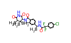 BC(NC(=O)C(F)(F)c1ccc(Cl)cc1)c1ccc2c(c1)CN(C1C(=O)NC(=O)C(B)C1(B)B)C2=O